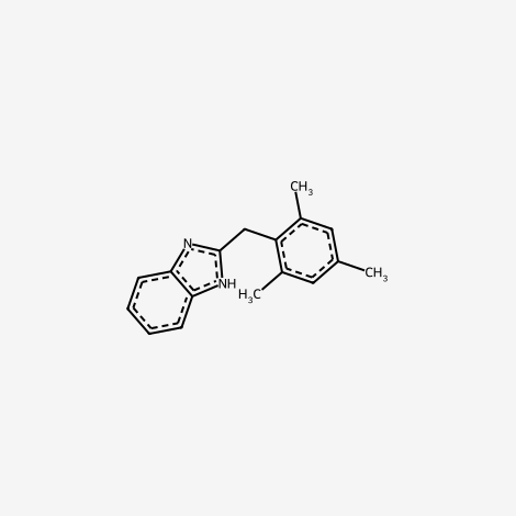 Cc1cc(C)c(Cc2nc3ccccc3[nH]2)c(C)c1